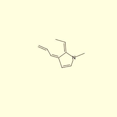 C=C/C=c1/ccn(C)/c1=C/C